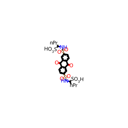 CCCC(NS(=O)(=O)c1ccc2c(c1)C(=O)c1ccc(S(=O)(=O)NC(CCC)S(=O)(=O)O)cc1C2=O)S(=O)(=O)O